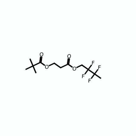 CC(C)(C)C(=O)OCCC(=O)OCC(F)(F)C(C)(F)F